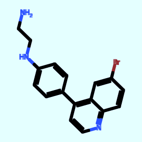 NCCNc1ccc(-c2ccnc3ccc(Br)cc23)cc1